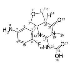 C[C@H]1OC[C@]2(c3cc(N)ccc3F)N=C(NC(=O)O)N(C)C(=O)[C@H]12